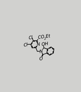 CCOC(=O)c1nc(CN2C(=O)c3ccccc3C2O)cc(Cl)c1Cl